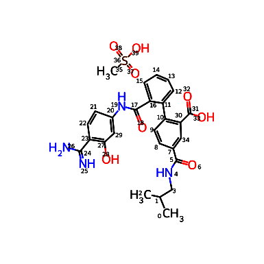 CC(C)CNC(=O)c1ccc(-c2ccccc2C(=O)Nc2ccc(C(=N)N)c(O)c2)c(C(=O)O)c1.CS(=O)(=O)O